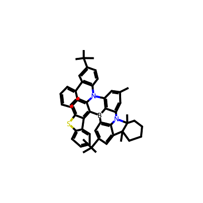 Cc1cc2c3c(c1)N1c4c(cc(C(C)(C)C)cc4C4(C)CCCCC14C)B3c1c(ccc3sc4ccccc4c13)N2c1ccc(C(C)(C)C)cc1-c1ccccc1